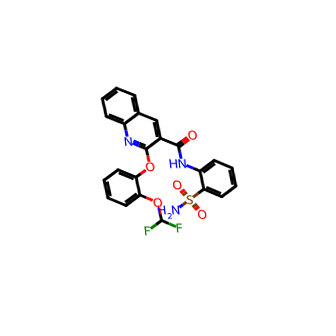 NS(=O)(=O)c1ccccc1NC(=O)c1cc2ccccc2nc1Oc1ccccc1OC(F)F